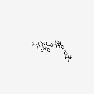 NC(=O)C(Oc1ccc(Br)cc1)C12CC(c3nnc(OCCOCC(F)(F)F)o3)(C1)C2